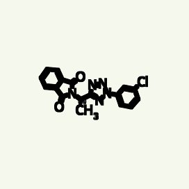 C[C@H](c1nnn(-c2cccc(Cl)c2)n1)N1C(=O)c2ccccc2C1=O